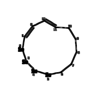 C1=C\[Se][Se][Se][Se]CCCCC/C=C/1